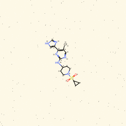 O=S(=O)(C1CC1)N1CCC(Nc2ncc(C(F)(F)F)c(-c3c[nH]cn3)n2)CC1